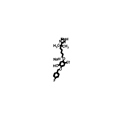 CCc1cc(OCc2ccc(F)cc2)c(O)cc1OCCCCCC(C)(C)c1nn[nH]n1.[NaH]